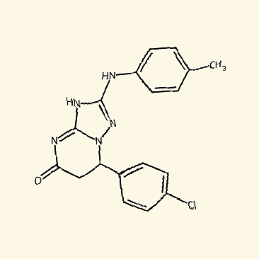 Cc1ccc(NC2=NN3C(=NC(=O)CC3c3ccc(Cl)cc3)N2)cc1